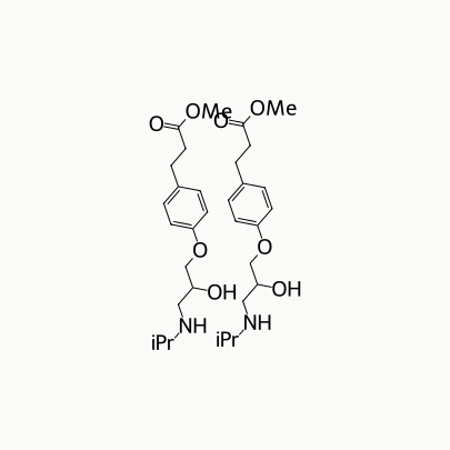 COC(=O)CCc1ccc(OCC(O)CNC(C)C)cc1.COC(=O)CCc1ccc(OCC(O)CNC(C)C)cc1